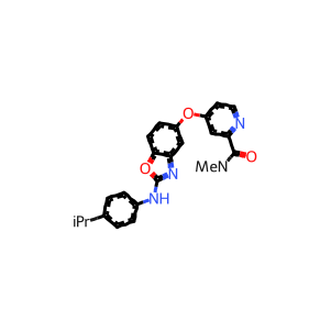 CNC(=O)c1cc(Oc2ccc3oc(Nc4ccc(C(C)C)cc4)nc3c2)ccn1